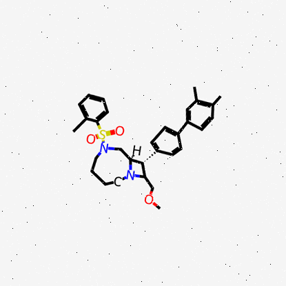 COCC1[C@@H](c2ccc(-c3ccc(C)c(C)c3)cc2)[C@@H]2CN(S(=O)(=O)c3ccccc3C)CCCCN12